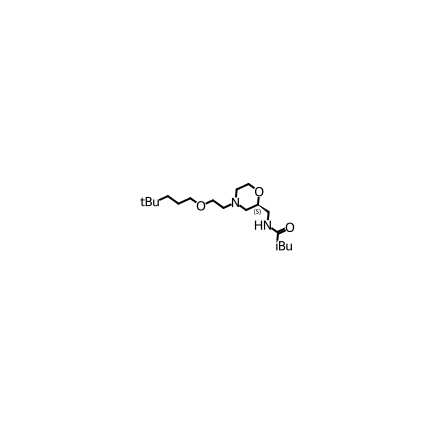 CCC(C)C(=O)NC[C@H]1CN(CCOCCCC(C)(C)C)CCO1